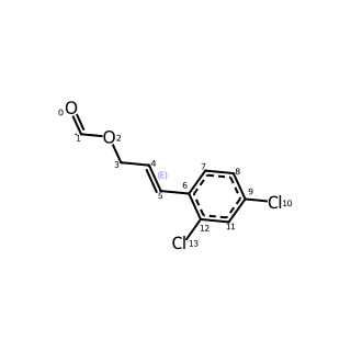 O=[C]OC/C=C/c1ccc(Cl)cc1Cl